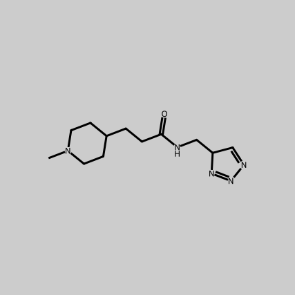 CN1CCC(CCC(=O)NCC2C=NN=N2)CC1